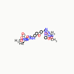 C#CCCN(Cc1ncc(-c2ccc3c4c(ccc3c2)-c2ccc(-c3cnc(CN(CCC)C(=O)[C@H](NC(=O)OC)c5ccccc5)[nH]3)cc2CO4)[nH]1)C(=O)[C@@H](NC(=O)OC)C1CCOCC1